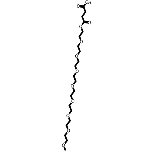 COCCOCCOCCOCCOCCOCCOCCOCCOC(=O)CCC(=O)O